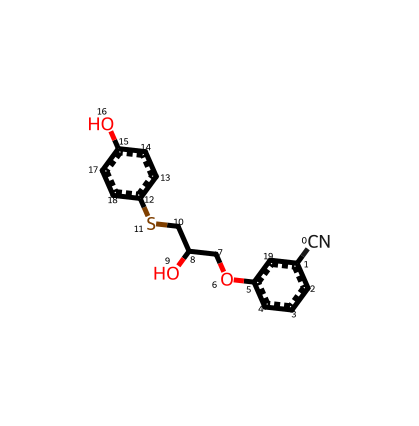 N#Cc1cccc(OCC(O)CSc2ccc(O)cc2)c1